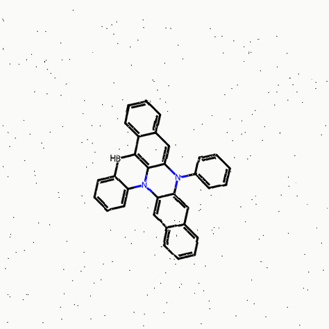 B1c2ccccc2N2c3cc4ccccc4cc3N(c3ccccc3)c3cc4ccccc4c1c32